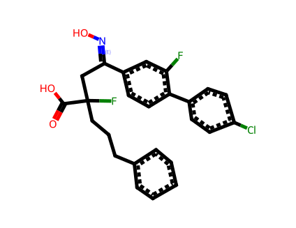 O=C(O)C(F)(CCCc1ccccc1)C/C(=N\O)c1ccc(-c2ccc(Cl)cc2)c(F)c1